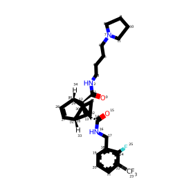 O=C(NCCCCN1CCCC1)[C@H]1[C@H](C(=O)NCc2cccc(C(F)(F)F)c2F)[C@@H]2C=C[C@H]1C21CC1